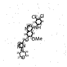 COc1cc2c(Nc3ccc(Cl)c(Cl)c3)ncnc2cc1OCc1nc(N2CCOCC2)no1